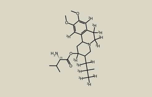 [2H]c1c(OC)c(OC)c([2H])c2c1C1CC([2H])(OC(=O)[C@@H](N)C(C)C)C(C([2H])([2H])C([2H])(C)C([2H])([2H])[2H])CN1C([2H])([2H])C2([2H])[2H]